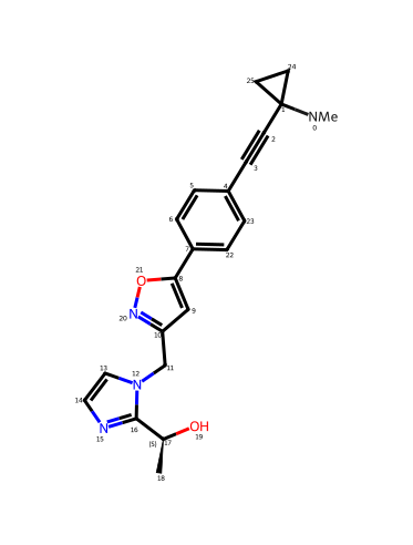 CNC1(C#Cc2ccc(-c3cc(Cn4ccnc4[C@H](C)O)no3)cc2)CC1